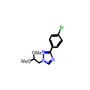 COC(Cn1cnc(-c2ccc(Br)cc2)n1)OC